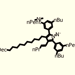 CCCC=CC1=C(c2cc(CCCC)cc(CCCCC)c2)[N+](=[N-])C(c2cc(CCCC)cc(CCCCC)c2)=C1CCCCCCCCCCCCCCCCCCCC.[CH3][Ni][CH3]